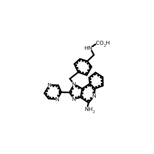 Nc1nc2ccccc2c2c1nc(-c1cnccn1)n2Cc1ccc(CNC(=O)O)cc1